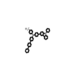 Cc1ccc(N(c2ccc(-c3ccc(C4=CCCC=C4)cc3)cc2)c2ccc(-c3ccc4c(c3)c3ccccc3n4-c3ccccc3)cc2)cc1